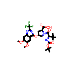 COc1cc2nc(C(F)(F)F)nc(O[C@@H]3CC(C(=O)O)N(C(=O)C(NC(=O)OC(C)(C)C)C(C)(C)C)C3)c2cc1OC